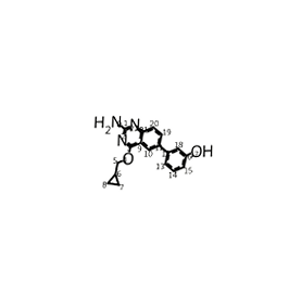 Nc1nc(OCC2CC2)c2cc(-c3cccc(O)c3)ccc2n1